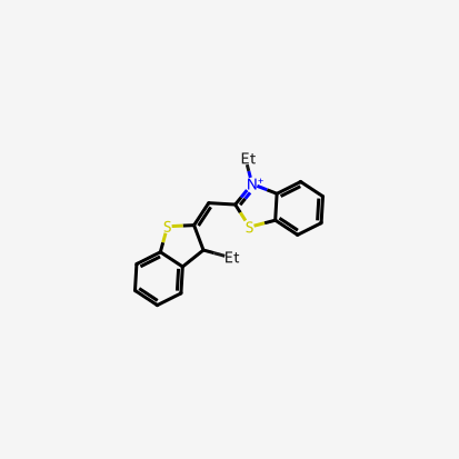 CCC1/C(=C\c2sc3ccccc3[n+]2CC)Sc2ccccc21